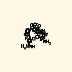 CON=C(C(=O)N[C@@H]1C(=O)N2C(C(=O)[O-])=C(C[n+]3ccc4ccn(Cc5c(F)cc(C(=N)N)cc5Cl)c4c3)CS[C@H]12)c1nc(N)sc1Cl